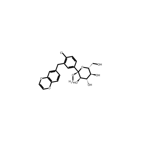 CO[C@@]1(c2ccc(Cl)c(Cc3ccc4c(c3)OC=CO4)c2)O[C@H](CO)[C@@H](O)[C@H](O)[C@H]1O